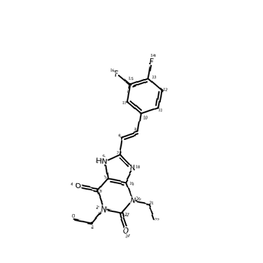 CCn1c(=O)c2[nH]c(/C=C/c3ccc(F)c(F)c3)nc2n(CC)c1=O